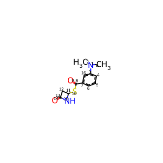 CN(C)c1cccc(C(=O)SC2CC(=O)N2)c1